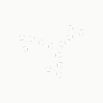 c1ccc(-n2c3ccccc3c3cc(-c4ccc(N(c5ccc(-c6ccc(-c7ccc8c9ccccc9n(-c9ccccc9)c8c7)cc6)cc5)c5ccc(-c6ccc7c8ccccc8n(-c8ccccc8)c7c6)cc5)cc4)ccc32)cc1